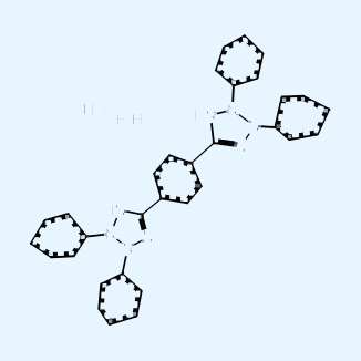 Br.Br.c1ccc(N2N=C(c3ccc(C4=NN(c5ccccc5)N(c5ccccc5)N4)cc3)NN2c2ccccc2)cc1